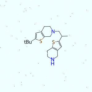 CC(CN1CCc2cc(C(C)(C)C)sc2C1)c1cc2c(s1)CCNC2